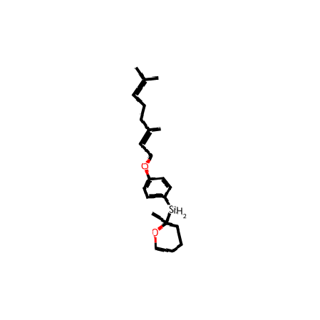 CC(C)=CCC/C(C)=C/COc1ccc([SiH2]C2(C)CCCCO2)cc1